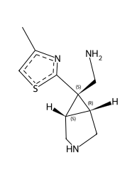 Cc1csc([C@]2(CN)[C@@H]3CNC[C@@H]32)n1